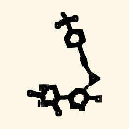 CS(=O)(=O)c1ccc(C#C[C@H]2C[C@@H]2c2cc(-c3c[nH]c(=O)[nH]c3=O)nnc2Cl)cc1